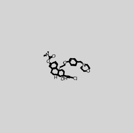 CN(C)C(=O)Oc1ccc2c(c1)CC[C@H]1C[C@](O)(C#CCl)CC[C@]21CCOc1ccc(CN2CCOCC2)cc1